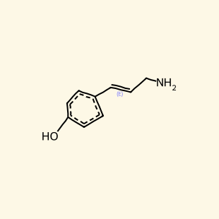 NC/C=C/c1ccc(O)cc1